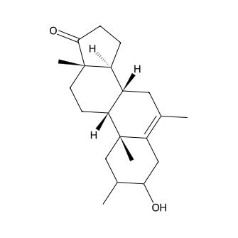 CC1=C2CC(O)C(C)C[C@]2(C)[C@@H]2CC[C@]3(C)C(=O)CC[C@H]3[C@@H]2C1